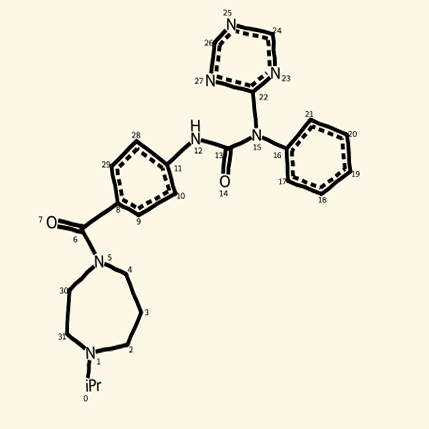 CC(C)N1CCCN(C(=O)c2ccc(NC(=O)N(c3ccccc3)c3ncncn3)cc2)CC1